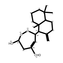 C=C1CCC2C(C)(C)CCCC2(C)C1C1C=C(C=O)CC(O)OO1